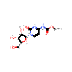 CCCCCCCCOC(=O)Nc1ccn([C@@H]2O[C@H](CO)[C@@H](O)[C@@H]2O)c(=O)n1